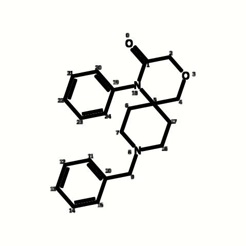 O=C1COCC2(CCN(Cc3ccccc3)CC2)N1c1ccccc1